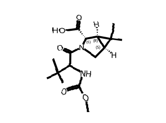 COC(=O)NC(C(=O)N1C[C@H]2[C@@H]([C@H]1C(=O)O)C2(C)C)C(C)(C)C